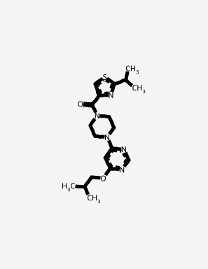 CC(C)COc1cc(N2CCN(C(=O)c3csc(C(C)C)n3)CC2)ncn1